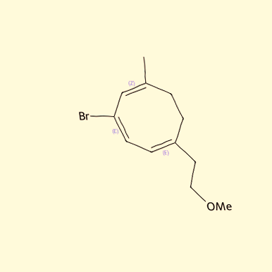 COCC/C1=C/C=C(Br)\C=C(\C)CC1